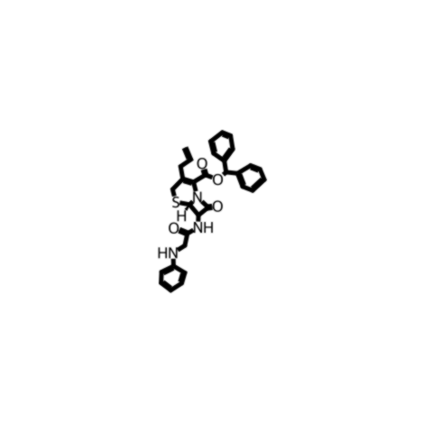 C=CCC1=C(C(=O)OC(c2ccccc2)c2ccccc2)N2C(=O)C(NC(=O)CNc3ccccc3)[C@@H]2SC1